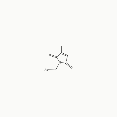 CC(=O)CN1C(=O)C=C(C)C1=O